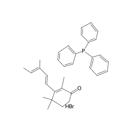 Br.CC=C(C)C=CC1=C(C)C(=O)CCC1(C)C.c1ccc(P(c2ccccc2)c2ccccc2)cc1